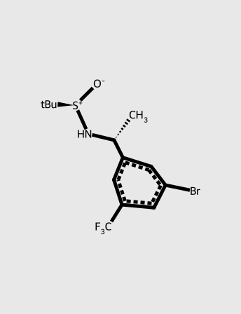 C[C@@H](N[S@+]([O-])C(C)(C)C)c1cc(Br)cc(C(F)(F)F)c1